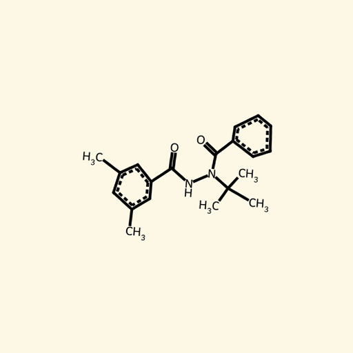 Cc1cc(C)cc(C(=O)NN(C(=O)c2ccccc2)C(C)(C)C)c1